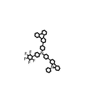 Fc1c(F)c(F)c(-c2ccc(N(c3ccc(-c4ccc5c6ccccc6c6ccccc6c5c4)cc3)c3ccc(-c4ccc5c6ccccc6n(-c6ccccc6)c5c4)cc3)cc2)c(F)c1F